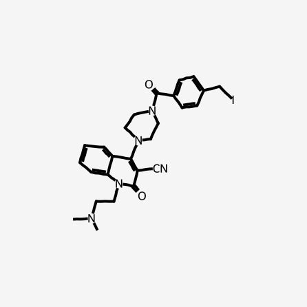 CN(C)CCn1c(=O)c(C#N)c(N2CCN(C(=O)c3ccc(CI)cc3)CC2)c2ccccc21